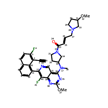 C#Cc1c(F)ccc2cccc(-c3ncc4c(N(C)C5CCN(C(=O)/C=C/CN6CCC(OC)C6)C5)nc(OC)nc4c3F)c12